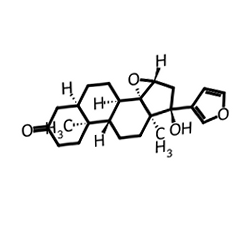 C[C@]12CCC(=O)C[C@H]1CC[C@@H]1[C@@H]2CC[C@@]2(C)[C@@]13O[C@@H]3C[C@]2(O)c1ccoc1